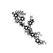 COc1cc(CN2CCN(C3CC4(C3)CN(c3ccc(C(=O)NS(=O)(=O)c5ccc(NC[C@H]6CC[C@](C)(O)CC6)c([N+](=O)[O-])c5)c(Oc5cnc6[nH]ccc6c5)c3)C4)[C@H](c3ccccc3C(C)C)C2)cc(F)c1OC